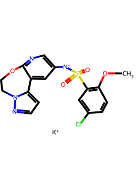 COc1ccc(Cl)cc1S(=O)(=O)[N-]c1cnc2c(c1)-c1ccnn1CCO2.[K+]